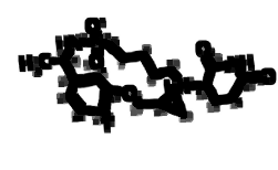 C[C@@H](NS(=O)(=O)CCCCCNC1CCC(=O)NC1=O)c1ccc(F)c(OCC2CC2)c1